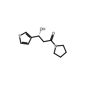 O=C(C[C@@H](O)c1ccsc1)N1CCCC1